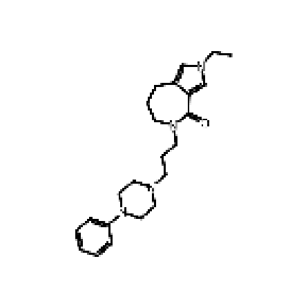 CCn1cc2c(c1)C(=O)N(CCCN1CCN(c3ccccc3)CC1)CCC2